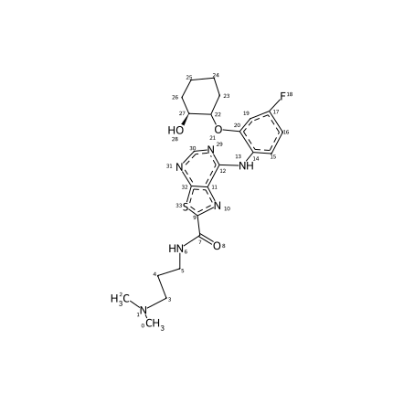 CN(C)CCCNC(=O)c1nc2c(Nc3ccc(F)cc3OC3CCCC[C@@H]3O)ncnc2s1